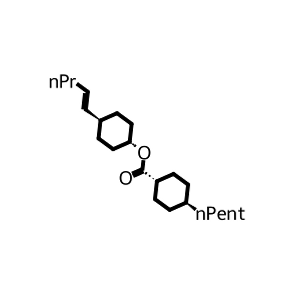 CCC/C=C/[C@H]1CC[C@H](OC(=O)[C@H]2CC[C@H](CCCCC)CC2)CC1